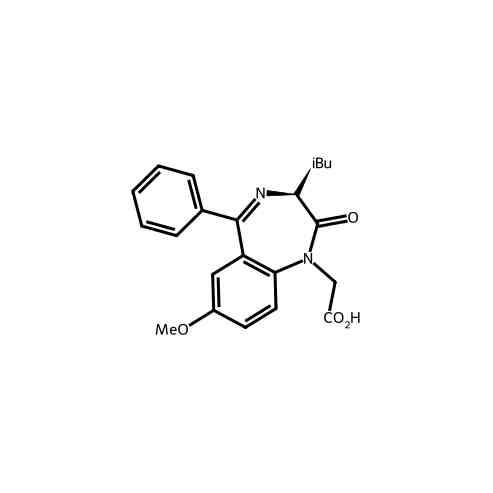 CC[C@H](C)[C@@H]1N=C(c2ccccc2)c2cc(OC)ccc2N(CC(=O)O)C1=O